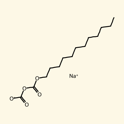 CCCCCCCCCCCCOC(=O)OC(=O)[O-].[Na+]